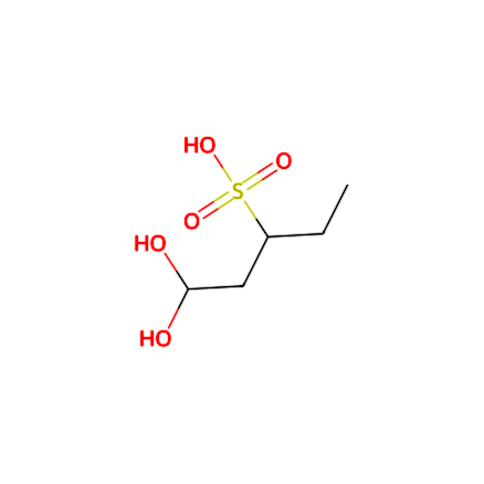 CCC(CC(O)O)S(=O)(=O)O